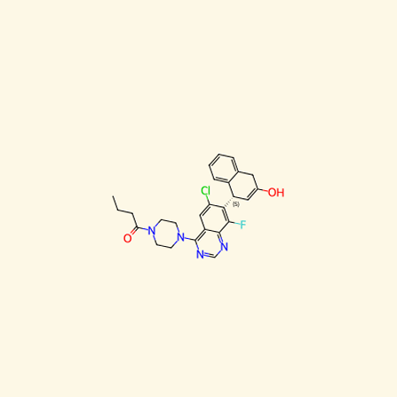 CCCC(=O)N1CCN(c2ncnc3c(F)c([C@H]4C=C(O)Cc5ccccc54)c(Cl)cc23)CC1